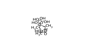 C/C1=C\C[C@H](O[C@@H]2O[C@H](CO)[C@@H](O)[C@H](O)[C@H]2O)/C(C)=C/[C@@H](O)[C@@H]2[C@H](C1)OC(=O)[C@H]2C